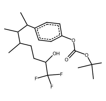 CC(CCC(O)C(F)(F)F)C(C)C(C)c1ccc(OC(=O)OC(C)(C)C)cc1